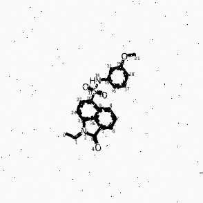 CCN1C(=O)c2cccc3c(S(=O)(=O)Nc4cccc(OC)c4)ccc1c23